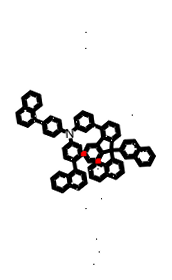 c1cc(-c2cccc3c2-c2ccccc2C3(c2ccc3ccccc3c2)c2cccc3ccccc23)cc(N(c2ccc(-c3cccc4ccccc34)cc2)c2ccc(-c3cccc4ccccc34)cc2)c1